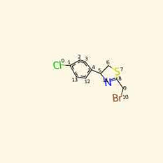 Clc1ccc(C2CSC(CBr)=N2)cc1